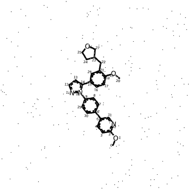 COc1ccc(-c2ccc(-n3nccc3-c3ccc(OC)c(CC4CCOC4)c3)cc2)cn1